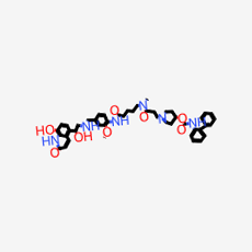 COc1cc(CNC[C@@H](O)c2ccc(O)c3[nH]c(=O)ccc23)ccc1NC(=O)CCCCN(C)C(=O)CCN1CCC(OC(=O)Nc2ccccc2-c2ccccc2)CC1